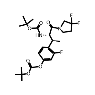 C[C@@H](c1ccc(OC(=O)OC(C)(C)C)cc1F)[C@H](NC(=O)OC(C)(C)C)C(=O)N1CCC(F)(F)C1